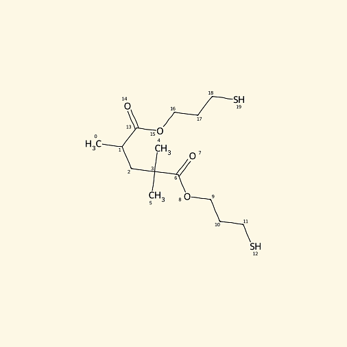 CC(CC(C)(C)C(=O)OCCCS)C(=O)OCCCS